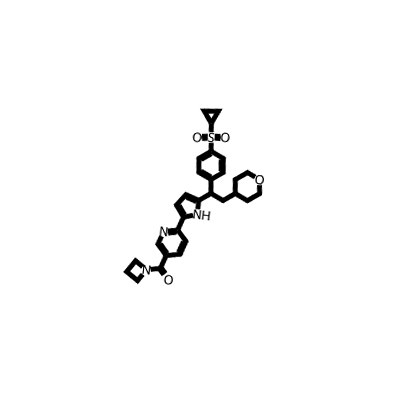 O=C(c1ccc(-c2ccc(C(CC3CCOCC3)c3ccc(S(=O)(=O)C4CC4)cc3)[nH]2)nc1)N1CCC1